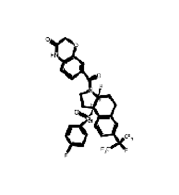 O=C1COc2cc(C(=O)N3CC[C@@]4(S(=O)(=O)c5ccc(F)cc5)c5ccc(C(F)(C(F)(F)F)C(F)(F)F)cc5CC[C@@H]34)ccc2N1